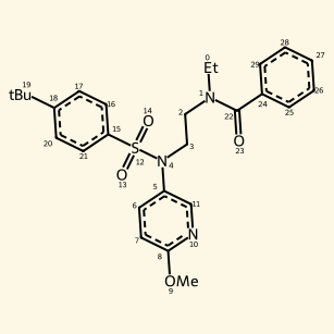 CCN(CCN(c1ccc(OC)nc1)S(=O)(=O)c1ccc(C(C)(C)C)cc1)C(=O)c1ccccc1